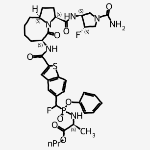 CCCOC(=O)[C@H](C)NP(=O)(Oc1ccccc1)C(F)c1ccc2sc(C(=O)N[C@H]3CCCC[C@H]4CC[C@@H](C(=O)N[C@H]5CN(C(N)=O)C[C@@H]5F)N4C3=O)cc2c1